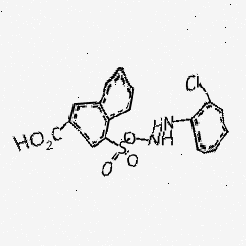 O=C(O)c1cc(S(=O)(=O)ONNc2ccccc2Cl)c2ccccc2c1